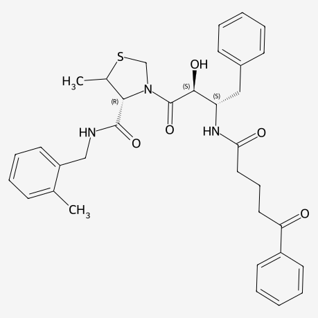 Cc1ccccc1CNC(=O)[C@@H]1C(C)SCN1C(=O)[C@@H](O)[C@H](Cc1ccccc1)NC(=O)CCCC(=O)c1ccccc1